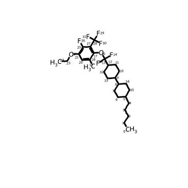 CCCCCC1CCC(C2CCC(C(F)(F)Oc3c(C)cc(OCC)c(F)c3C(F)(F)F)CC2)CC1